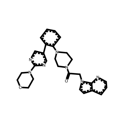 O=C(Cn1ccc2cccnc21)N1CCN(c2ccccc2-c2cnc(N3CCOCC3)nc2)CC1